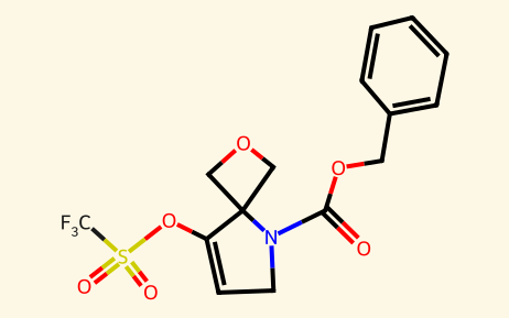 O=C(OCc1ccccc1)N1CC=C(OS(=O)(=O)C(F)(F)F)C12COC2